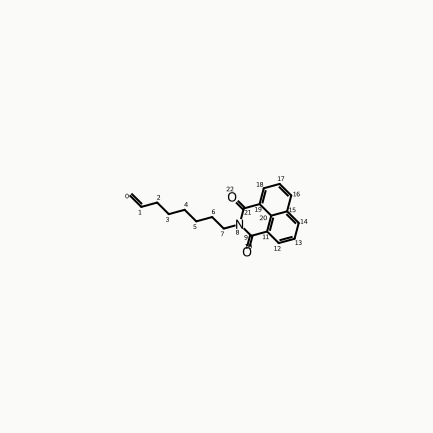 C=CCCCCCCN1C(=O)c2cccc3cccc(c23)C1=O